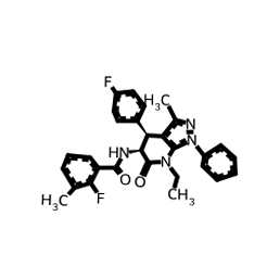 CCN1C(=O)[C@@H](NC(=O)c2cccc(C)c2F)[C@@H](c2ccc(F)cc2)c2c(C)nn(-c3ccccc3)c21